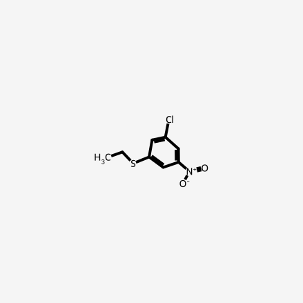 CCSc1cc(Cl)cc([N+](=O)[O-])c1